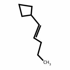 CCC/C=C/C1CCC1